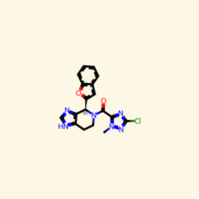 Cn1nc(Cl)nc1C(=O)N1CCc2[nH]cnc2[C@H]1c1cc2ccccc2o1